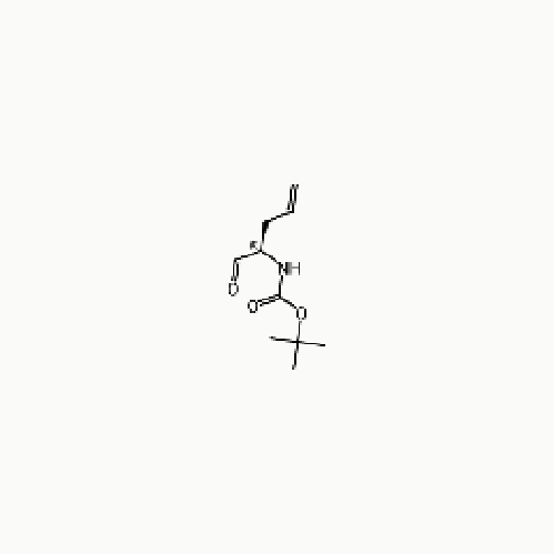 C=CC[C@H](C=O)NC(=O)OC(C)(C)C